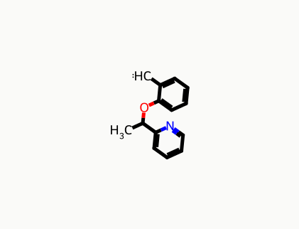 [CH]c1ccccc1OC(C)c1ccccn1